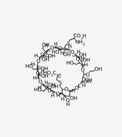 C[C@H](CSCC1O[C@@H]2OC[C@H](O)C(O)C(OCCO)O[C@@H]3C(CO)O[C@@H](O[C@@H]4C(CSCC(N)C(=O)O)O[C@@H](O[C@@H]5C(CO)O[C@H](O[C@@H]6C(CO)O[C@H](O[C@@H]7C(CO)O[C@H](O[C@H]1[C@H](O)C2O)C(O)[C@H]7O)[C@@H](O)C6O)[C@@H](O)C5O)[C@@H](O)C4O)[C@@H](O)C3O)C(=O)O